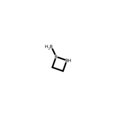 BB1BCC1